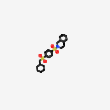 O=S(=O)(CC1CCCCC1)c1ccc(S(=O)(=O)N2CCc3ccccc3C2)cc1